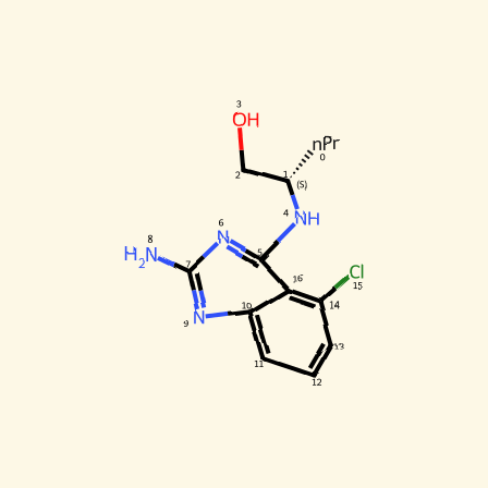 CCC[C@@H](CO)Nc1nc(N)nc2cccc(Cl)c12